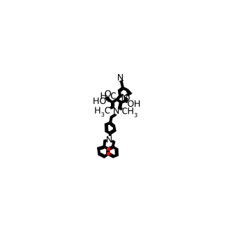 CC1=C(C(=O)O)C(C)(c2cc(C#N)ccn2)C(C(=O)O)=C(C)N1CCc1ccc(N(Cc2ccccc2)Cc2ccccc2)cc1